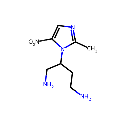 Cc1ncc([N+](=O)[O-])n1C(CN)CCN